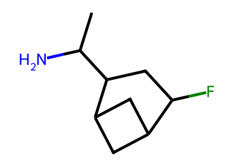 CC(N)C1CC(F)C2CC1C2